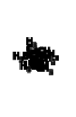 Bc1c(C)cc(C(C)(C)C)c(O[SiH](C)C)c1C